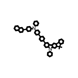 CC1(C)c2ccccc2-c2cc3c4cc(-c5ccc(-c6ccc(N(c7ccccc7)c7ccc(-c8ccc9ccccc9c8)cc7)cc6)cc5)ccc4n(-c4ccccc4)c3cc21